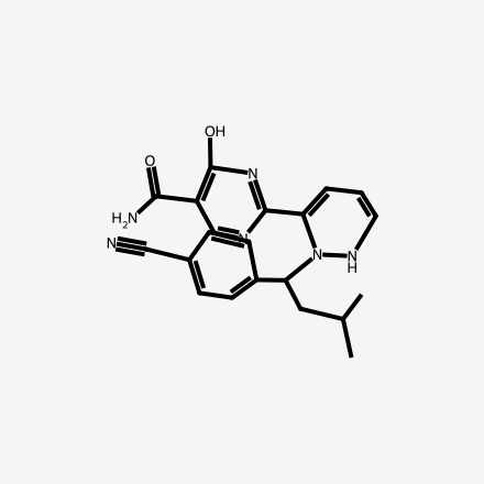 CC(C)CC(c1ccc(C#N)cc1)N1NC=CC=C1c1ncc(C(N)=O)c(O)n1